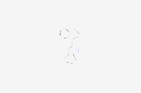 Cn1c(-c2cccc3ccccc23)cc2ccccc21